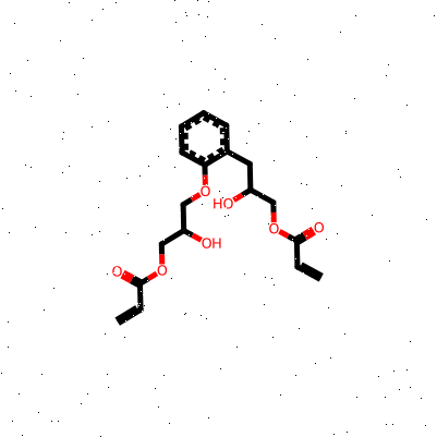 C=CC(=O)OCC(O)COc1ccccc1CC(O)COC(=O)C=C